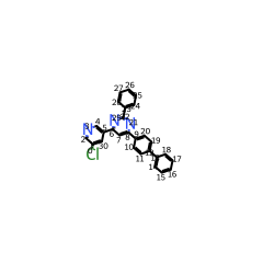 Clc1cncc(-c2cc(-c3ccc(-c4ccccc4)cc3)nc(-c3ccccc3)n2)c1